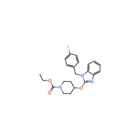 CCOC(=O)N1CCC(Oc2nc3ccccc3n2Cc2ccc(F)cc2)CC1